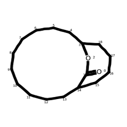 O=C1OC2CCCCCCCCCCC1CCCC2